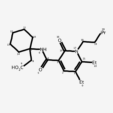 CCc1cc(C(=O)NC2(CC(=O)O)CCCCC2)c(=O)n(CCC(C)C)c1CC